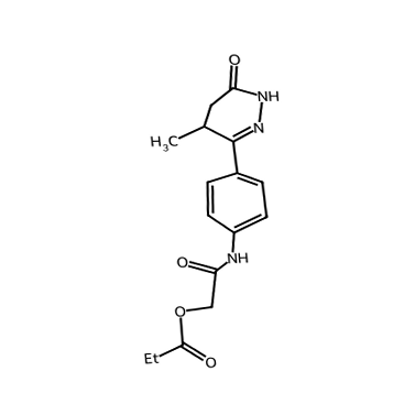 CCC(=O)OCC(=O)Nc1ccc(C2=NNC(=O)CC2C)cc1